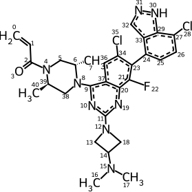 C=CC(=O)N1C[C@H](C)N(c2nc(N3CC(N(C)C)C3)nc3c(F)c(-c4ccc(Cl)c5[nH]ncc45)c(Cl)cc23)C[C@H]1C